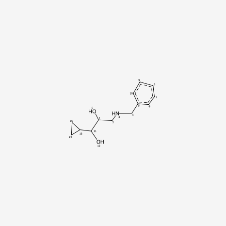 OC(CNCc1ccccc1)C(O)C1CC1